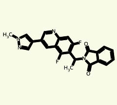 CC(c1c(F)cc2ncc(-c3cnn(C)c3)cc2c1F)N1C(=O)c2ccccc2C1=O